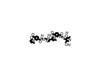 Cc1ncc(CO)c(/C=N/NC(=O)c2ccc3c(=O)oc4c(-c5cnc(/C=N/NC(=O)c6ccc7c(=O)oc8ccc(C)n8c7c6)[nH]5)cc(C)n4c3c2)c1O